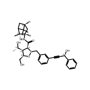 C[C@H](O)[C@@H]1[C@H](CO)ON(Cc2cccc(C#C[C@@H](O)c3ccccc3)c2)[C@@H]1C(=O)N[C@H]1C[C@H]2CC([C@@H]1C)C2(C)C